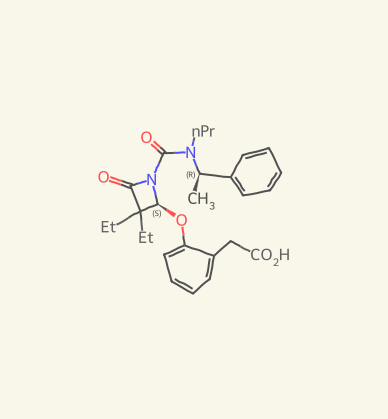 CCCN(C(=O)N1C(=O)C(CC)(CC)[C@@H]1Oc1ccccc1CC(=O)O)[C@H](C)c1ccccc1